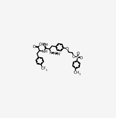 COC(=O)C(Cc1ccc(C(F)(F)F)cc1)NC(=O)C(Cc1ccc(OCCOS(=O)(=O)c2ccc(C)cc2)cc1)N=[N+]=[N-]